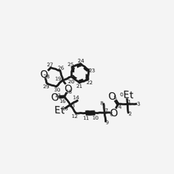 CCC(C)(C)C(=O)OC(C)(C)C#CCC(C)(CC)C(=O)OC1(c2ccccc2)CCOCC1